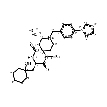 CCCCN1C(=O)[C@@H](CC2(O)CCCCC2)NC(=O)C12CCN(Cc1ccc(-n3cncn3)cc1)CC2.Cl.Cl